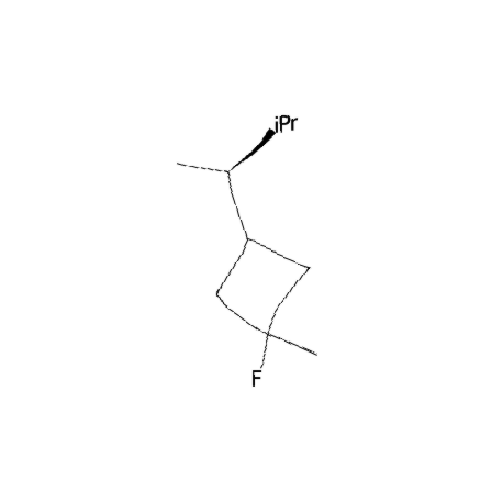 CC(C)[C@H](C)C1CC(C)(F)C1